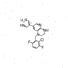 N=C/C(=C\N)c1cnc2c(c1)N(Cc1c(F)ccc(F)c1Cl)CCN2